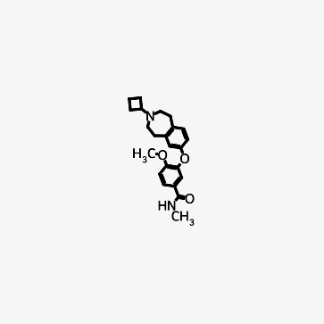 CNC(=O)c1ccc(OC)c(Oc2ccc3c(c2)CCN(C2CCC2)CC3)c1